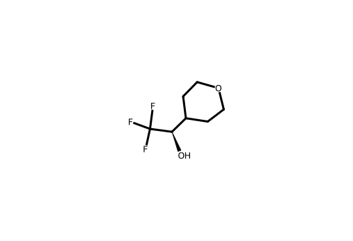 O[C@H](C1CCOCC1)C(F)(F)F